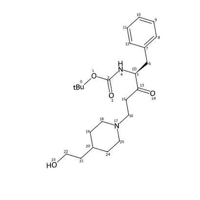 CC(C)(C)OC(=O)N[C@@H](Cc1ccccc1)C(=O)CCN1CCC(CCO)CC1